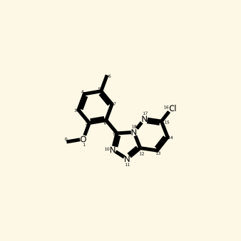 COc1ccc(C)cc1-c1nnc2ccc(Cl)nn12